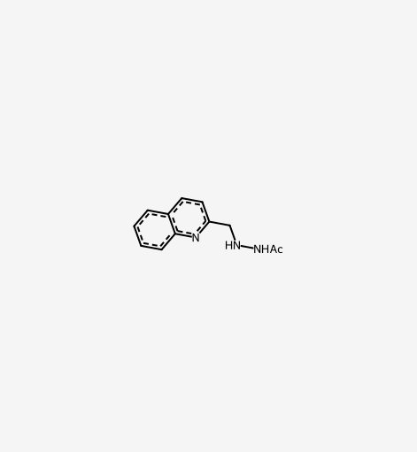 CC(=O)NNCc1ccc2ccccc2n1